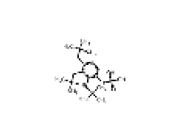 CC(C)(C)Cc1ccc(OP(=O)(O)O)c(CC(C)(C)C)c1CC(C)(C)C